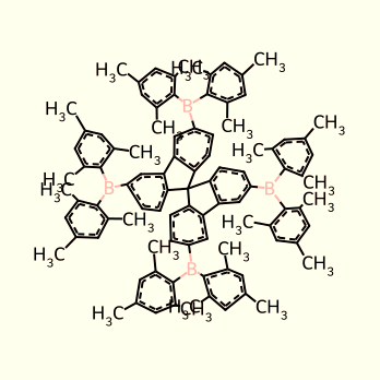 Cc1cc(C)c(B(c2ccc3c(c2)-c2cc(B(c4c(C)cc(C)cc4C)c4c(C)cc(C)cc4C)ccc2C32c3ccc(B(c4c(C)cc(C)cc4C)c4c(C)cc(C)cc4C)cc3-c3cc(B(c4c(C)cc(C)cc4C)c4c(C)cc(C)cc4C)ccc32)c2c(C)cc(C)cc2C)c(C)c1